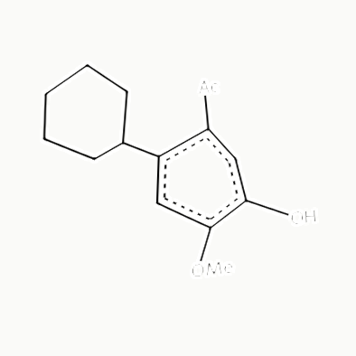 COc1cc(C2CCCCC2)c(C(C)=O)cc1O